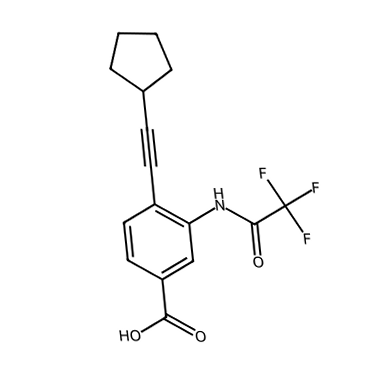 O=C(O)c1ccc(C#CC2CCCC2)c(NC(=O)C(F)(F)F)c1